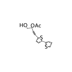 CC(=O)OC(C#Cc1ccc(-c2cccs2)s1)CO